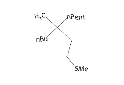 CCCCCC(C)(CCCC)CCSC